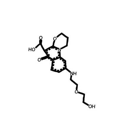 O=C(O)c1c2n(c3cc(NCCOCCO)ccc3c1=O)CCCO2